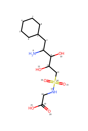 NC(CC1CCCCC1)C(O)C(O)CS(=O)(=O)NCC(=O)O